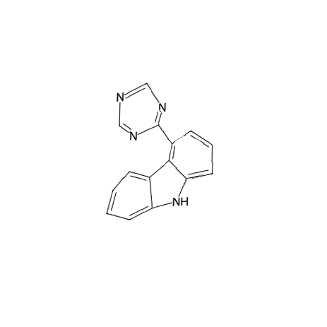 c1ccc2c(c1)[nH]c1cccc(-c3ncncn3)c12